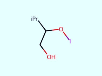 CC(C)C(CO)OI